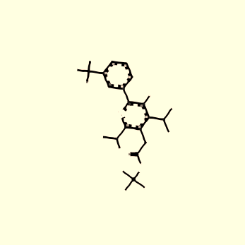 CC(C)c1nc(-c2cccc(C(F)(F)F)c2)c(F)c(C(C)C)c1CC(=O)OC(C)(C)C